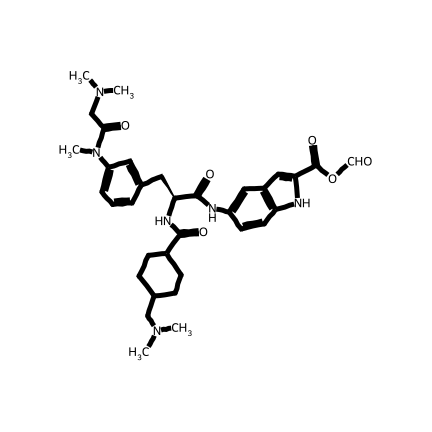 CN(C)CC(=O)N(C)c1cccc(C[C@H](NC(=O)C2CCC(CN(C)C)CC2)C(=O)Nc2ccc3[nH]c(C(=O)OC=O)cc3c2)c1